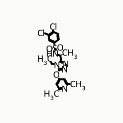 CCn1c(Oc2cc(C)nc(C)c2)nnc1[C@@H](C)NS(=O)(=O)c1ccc(Cl)c(Cl)c1